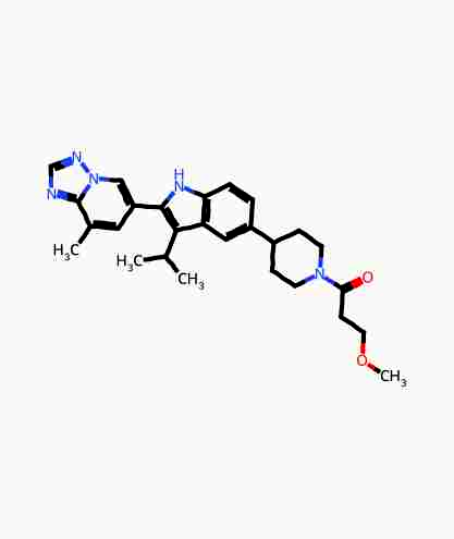 COCCC(=O)N1CCC(c2ccc3[nH]c(-c4cc(C)c5ncnn5c4)c(C(C)C)c3c2)CC1